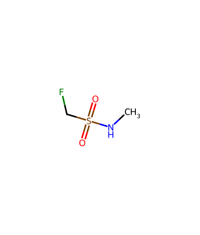 CNS(=O)(=O)CF